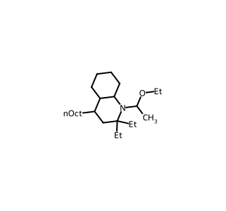 CCCCCCCCC1CC(CC)(CC)N(C(C)OCC)C2CCCCC12